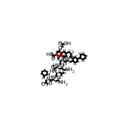 CC(=O)[C@H](CC1CCCCC1)NC(=O)[C@H](CCN)NC(=O)[C@@H](CC(C)C)NC(=O)[C@H](CCCN)NC(=O)[C@H](Cc1ccc(OCC(=O)O)cc1)NC(=O)[C@H](Cc1ccc(-c2ccccc2)cc1)NC(=O)[C@@H](C)Cc1ccc(OCC(=O)O)cc1